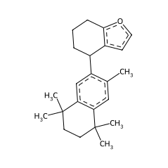 Cc1cc2c(cc1C1CCCc3occc31)C(C)(C)CCC2(C)C